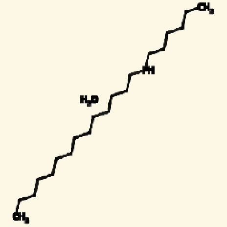 CCCCCCCCCCCCCCPCCCCCC.O